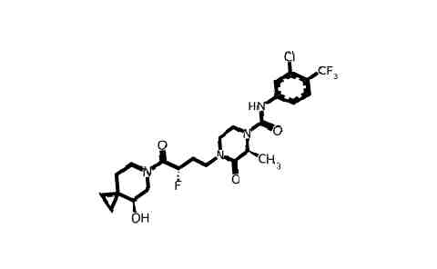 C[C@H]1C(=O)N(CC[C@H](F)C(=O)N2CCC3(CC3)[C@H](O)C2)CCN1C(=O)Nc1ccc(C(F)(F)F)c(Cl)c1